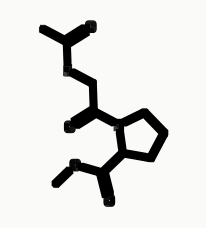 COC(=O)C1CCCN1C(=O)CSC(C)=O